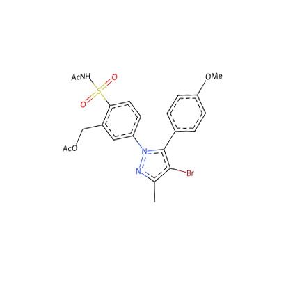 COc1ccc(-c2c(Br)c(C)nn2-c2ccc(S(=O)(=O)NC(C)=O)c(COC(C)=O)c2)cc1